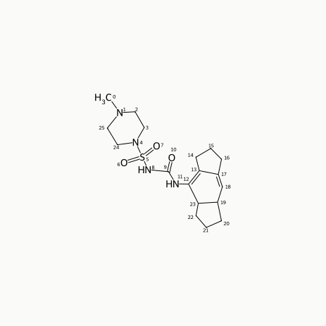 CN1CCN(S(=O)(=O)NC(=O)NC2=C3CCCC3=CC3CCCC23)CC1